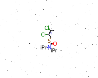 C/C(Cl)=C(/Cl)CSC(=O)N(C(C)C)C(C)C